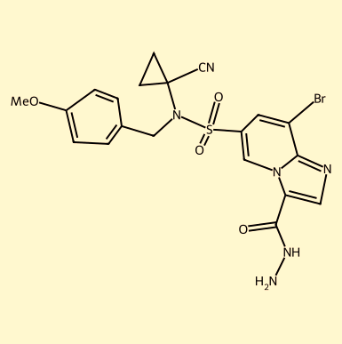 COc1ccc(CN(C2(C#N)CC2)S(=O)(=O)c2cc(Br)c3ncc(C(=O)NN)n3c2)cc1